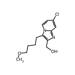 COCCCCc1c(CO)nc2cc(Cl)ccn12